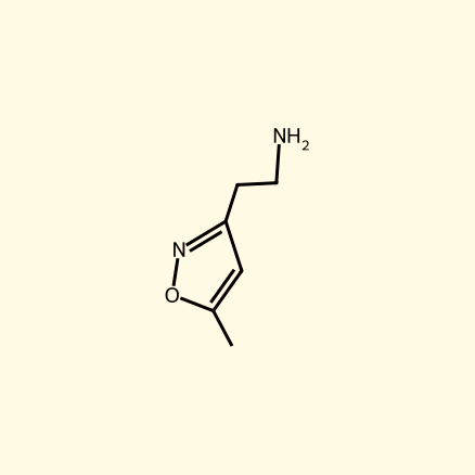 Cc1cc(CCN)no1